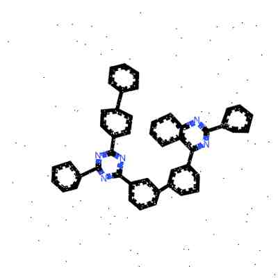 c1ccc(-c2ccc(-c3nc(-c4ccccc4)nc(-c4cccc(-c5cccc(-c6nc(-c7ccccc7)nc7ccccc67)c5)c4)n3)cc2)cc1